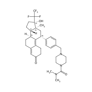 CN(C)C(=O)N1CCN(Cc2ccc([C@H]3C[C@@]4(C)[C@@H](CC[C@@]4(O)C(F)(F)C(F)(F)F)[C@@H]4CCC5=CC(=O)CCC5=C43)cc2)CC1